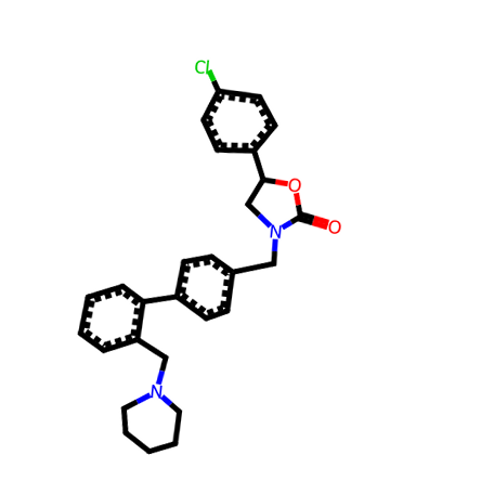 O=C1OC(c2ccc(Cl)cc2)CN1Cc1ccc(-c2ccccc2CN2CCCCC2)cc1